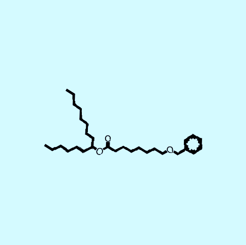 CCCCCCCCC(CCCCCC)OC(=O)CCCCCCCOCc1ccccc1